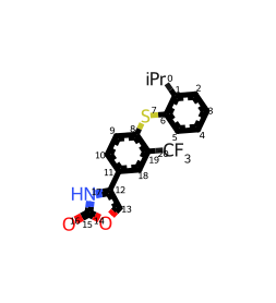 CC(C)c1ccccc1Sc1ccc(-c2coc(=O)[nH]2)cc1C(F)(F)F